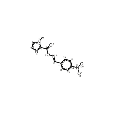 Cn1ccnc1C(=O)ON=Cc1ccc([N+](=O)[O-])cc1